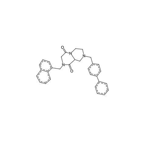 O=C1C2CN(Cc3ccc(-c4ccccc4)cc3)CCN2C(=O)CN1Cc1cccc2ccccc12